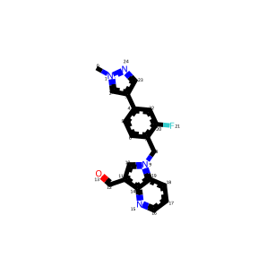 Cn1cc(-c2ccc(Cn3cc([C]=O)c4ncccc43)c(F)c2)cn1